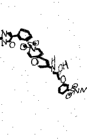 CNS(=O)(=O)c1cccc(OC[C@@H](O)CNC2COC3(CCN(S(=O)(=O)c4cccc(-c5cn(C)c(=O)n(C)c5=O)c4)CC3)C2)c1